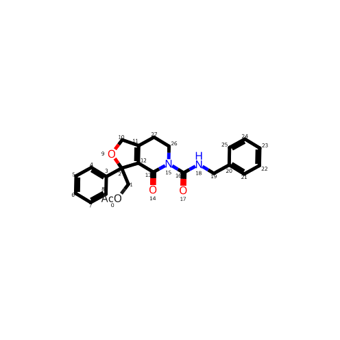 CC(=O)OCC1(c2ccccc2)OCC2=C1C(=O)N(C(=O)NCc1ccccc1)CC2